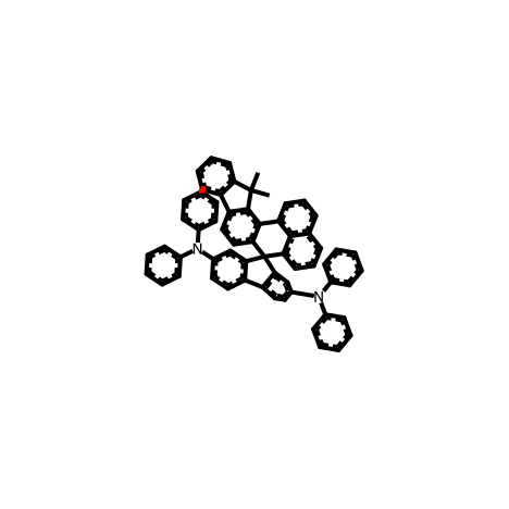 CC1(C)c2ccccc2-c2ccc3c(c21)-c1cccc2cccc(c12)C31c2cc(N(c3ccccc3)c3ccccc3)ccc2-c2ccc(N(c3ccccc3)c3ccccc3)cc21